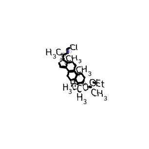 CCOC(C)O[C@H]1CC[C@]2(C)C3=C(CC[C@H]2C1(C)C)C1=CC[C@H]([C@H](C)/C=C/Cl)[C@@]1(C)CC3